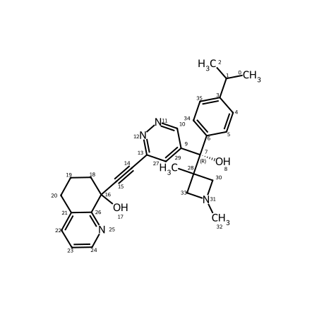 CC(C)c1ccc([C@](O)(c2cnnc(C#CC3(O)CCCc4cccnc43)c2)C2(C)CN(C)C2)cc1